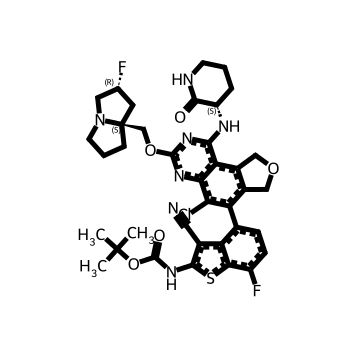 CC(C)(C)OC(=O)Nc1sc2c(F)ccc(-c3c4c(c5c(N[C@H]6CCCNC6=O)nc(OC[C@@]67CCCN6C[C@H](F)C7)nc5c3Cl)COC4)c2c1C#N